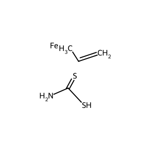 C=CC.NC(=S)S.[Fe]